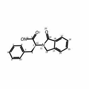 O=NC(=O)[C@H](Cc1ccccc1)N1Cc2ccccc2C1=O